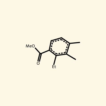 CCc1c(C(=O)OC)ccc(C)c1C